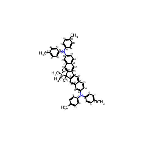 Cc1ccc(N(c2ccc(C)cc2)c2ccc3cc4c(cc3c2)C(C)([Si](C)(C)C)c2cc3cc(N(c5ccc(C)cc5)c5ccc(C)cc5)ccc3cc2-4)cc1